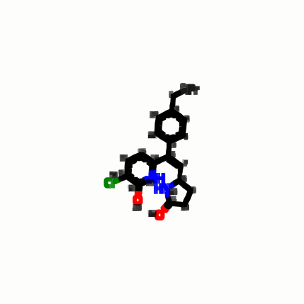 CC(C)Cc1ccc(/C(=C/[C@H]2CCC(=O)N2)c2ccc(Cl)c(=O)[nH]2)cc1